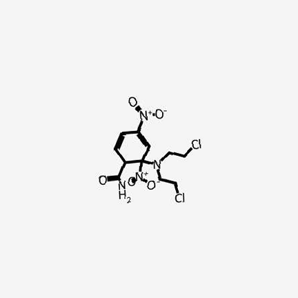 NC(=O)C1C=CC([N+](=O)[O-])=CC1(N(CCCl)CCCl)[N+](=O)[O-]